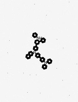 C1=CC(Nc2ccccc2)C(c2ccccc2)C=C1c1ccc(N(c2ccc(-c3ccc(N(c4ccccc4)c4ccccc4)cc3)cc2)c2ccc3ccccc3c2)cc1